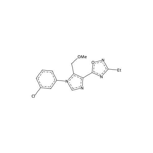 CCc1noc(-c2ncn(-c3cccc(Cl)c3)c2COC)n1